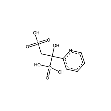 O=P(O)(O)C(O)(CS(=O)(=O)O)c1ccccn1